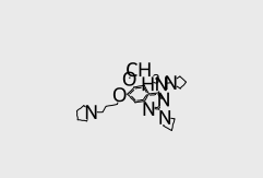 COc1cc2c(NN3CCC3)nc(N3CCC3)nc2cc1OCCCN1CCCC1